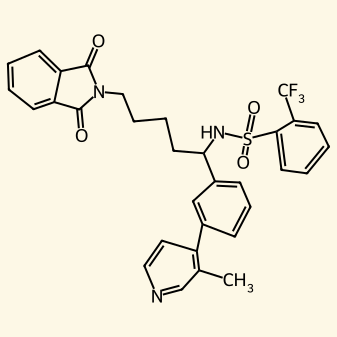 Cc1cnccc1-c1cccc(C(CCCCN2C(=O)c3ccccc3C2=O)NS(=O)(=O)c2ccccc2C(F)(F)F)c1